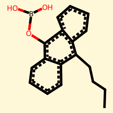 CCCCc1c2ccccc2c(OB(O)O)c2ccccc12